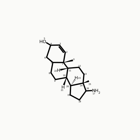 C[C@]12C=CC(O)CC1CC[C@@H]1[C@H]2CC[C@]2(C)C(N)CC[C@@H]12